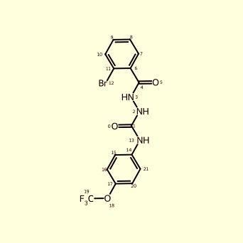 O=C(NNC(=O)c1ccccc1Br)Nc1ccc(OC(F)(F)F)cc1